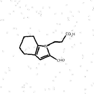 O=Cc1cc2c(n1CCC(=O)O)CCCC2